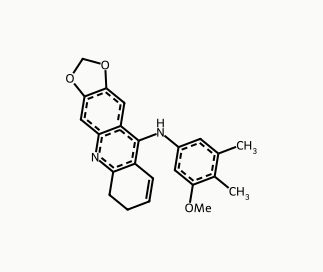 COc1cc(Nc2c3c(nc4cc5c(cc24)OCO5)CCC=C3)cc(C)c1C